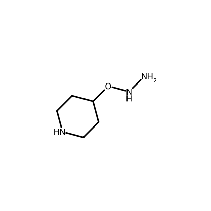 NNOC1CCNCC1